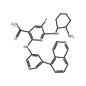 NC(=O)c1cc(F)c(NC2CCCCC2N)nc1Nc1cncc(-c2cccc3cnccc23)c1